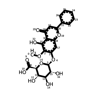 COc1c(O[C@@H]2O[C@H](C(=O)O)[C@@H](O)[C@H](O)[C@H]2O)cc2oc(-c3ccccc3)cc(=O)c2c1O